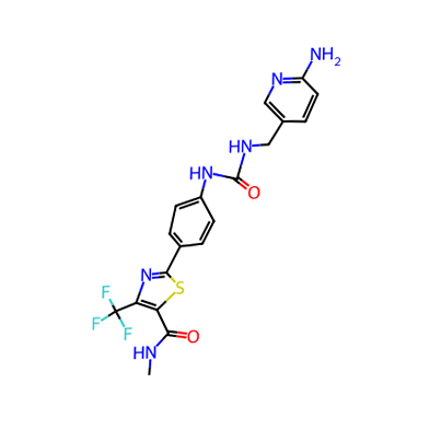 CNC(=O)c1sc(-c2ccc(NC(=O)NCc3ccc(N)nc3)cc2)nc1C(F)(F)F